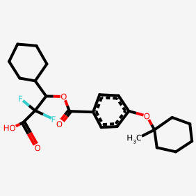 CC1(Oc2ccc(C(=O)OC(C3CCCCC3)C(F)(F)C(=O)O)cc2)CCCCC1